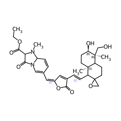 CCOC(=O)C1C(=O)N2C=C(/C=C3C=C(/C=C/C4C5(CCC6[C@]4(C)CC[C@@H](O)[C@@]6(C)CO)CO5)C(=O)O\3)C=CC2N1C